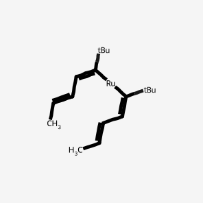 CC=CC=[C]([Ru][C](=CC=CC)C(C)(C)C)C(C)(C)C